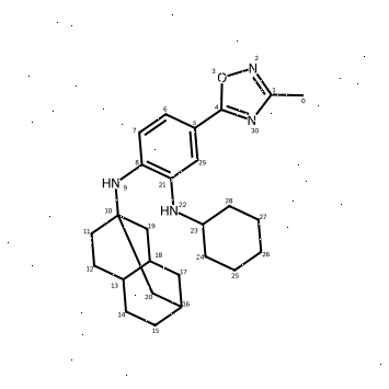 Cc1noc(-c2ccc(NC34CCC5CCC(CC5C3)C4)c(NC3CCCCC3)c2)n1